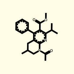 COC(=O)c1c(C(C)C)nc2c(c1-c1ccccc1)CC(C)CN2C(C)=O